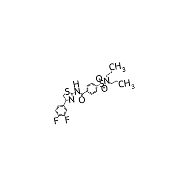 CCCN(CCC)S(=O)(=O)c1ccc(C(=O)NC2=NC(c3ccc(F)c(F)c3)CS2)cc1